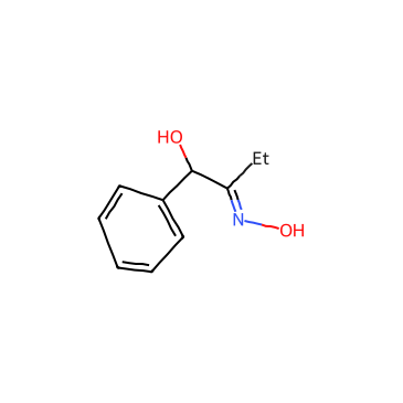 CCC(=NO)C(O)c1ccccc1